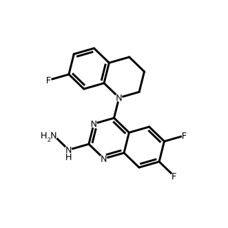 NNc1nc(N2CCCc3ccc(F)cc32)c2cc(F)c(F)cc2n1